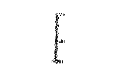 COCCOCCOCCOCCOCCOCCOCCOCCOCCOCCOCCOCCOC1(C(C)C)CCNCC1.Cl